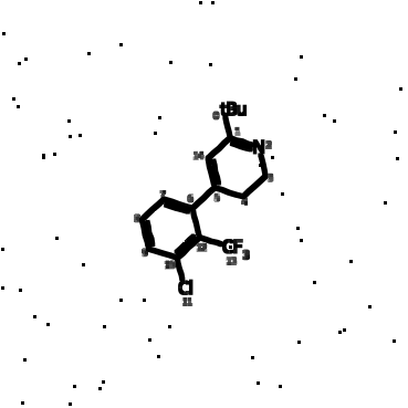 CC(C)(C)C1=NCCC(c2cccc(Cl)c2C(F)(F)F)=C1